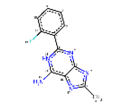 Cc1nc2nc(-c3ccccc3F)[nH]c(N)c-2n1